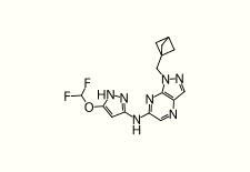 FC(F)Oc1cc(Nc2cnc3cnn(CC45CC(C4)C5)c3n2)n[nH]1